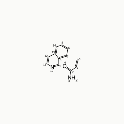 C=CC(N)=O.c1ccc2cnccc2c1